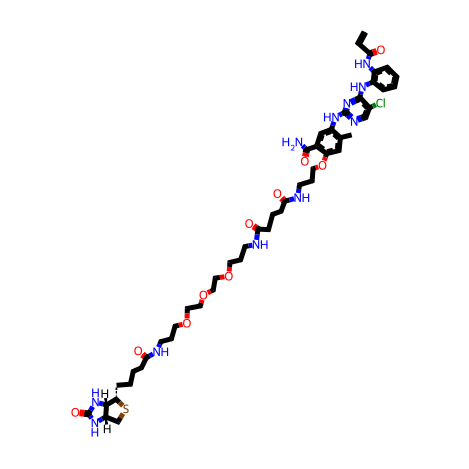 C=CC(=O)Nc1ccccc1Nc1nc(Nc2cc(C(N)=O)c(OCCCNC(=O)CCCC(=O)NCCCOCCOCCOCCCNC(=O)CCCC[C@@H]3SC[C@@H]4NC(=O)N[C@@H]43)cc2C)ncc1Cl